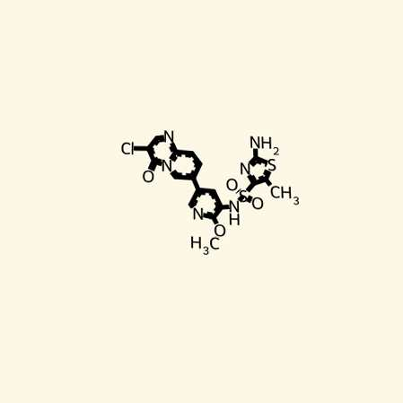 COc1ncc(-c2ccc3ncc(Cl)c(=O)n3c2)cc1NS(=O)(=O)c1nc(N)sc1C